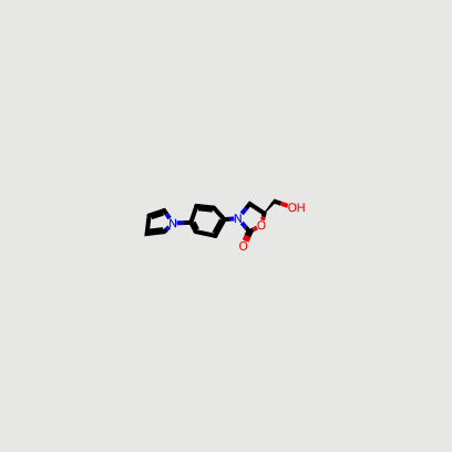 O=C1O[C@H](CO)CN1c1ccc(-n2cccc2)cc1